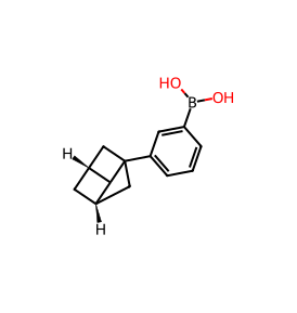 OB(O)c1cccc(C23C[C@H]4C[C@@H](C2)C43)c1